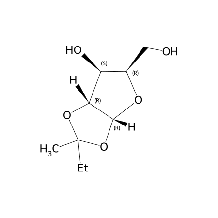 CCC1(C)O[C@H]2O[C@H](CO)[C@H](O)[C@H]2O1